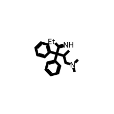 CCC(=N)C(c1ccccc1)(c1ccccc1)C(C)CN(C)C